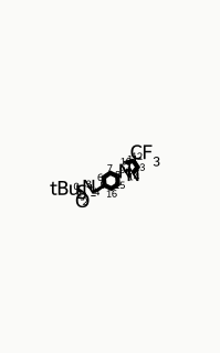 CC(C)(C)[S+]([O-])N=Cc1ccc(-n2cc(C(F)(F)F)cn2)cc1